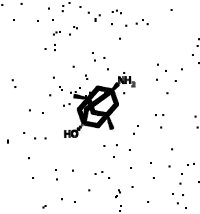 C[C@]12C[C@]3(C)C[C@@](N)(C1)C[C@](O)(C2)C3